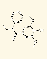 CCC(C(=O)c1cc(OC)c(O)c(OC)c1)c1ccccc1